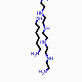 NCCCCCCN.NCCNCCNCCNCCNCCN